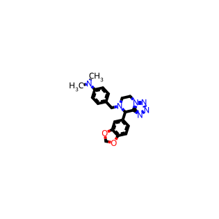 CN(C)c1ccc(CN2CCn3nnnc3C2c2ccc3c(c2)OCO3)cc1